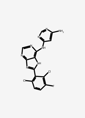 Nc1cc(Nc2ncnc3nc(-c4c(Cl)ccc(F)c4Cl)[nH]c23)ncn1